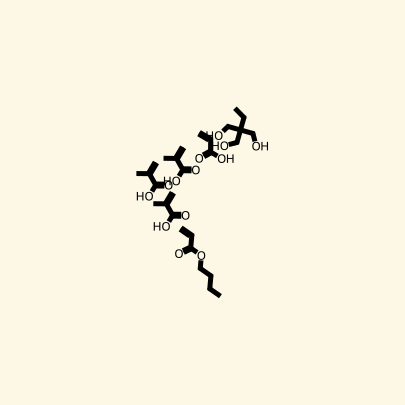 C=C(C)C(=O)O.C=C(C)C(=O)O.C=C(C)C(=O)O.C=CC(=O)O.C=CC(=O)OCCCC.CCC(CO)(CO)CO